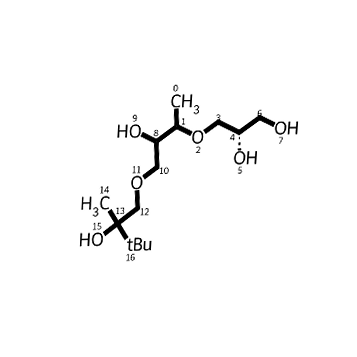 CC(OC[C@@H](O)CO)C(O)COCC(C)(O)C(C)(C)C